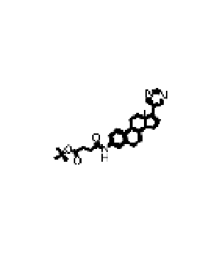 CC(C)(C)OC(=O)CCC(=O)Nc1ccc2c(c1)CCC1C2CC[C@]2(C)C(c3cncnc3)=CCC12